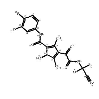 C#CC(CC)(CC)NC(=O)C(=O)c1c(C)c(C(=O)Nc2ccc(F)c(F)c2)n(C)c1C